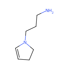 NCCCN1C=CCC1